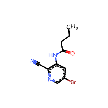 CCCC(=O)Nc1cc(Br)cnc1C#N